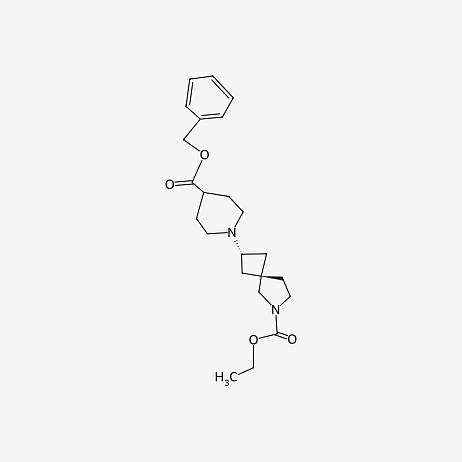 CCOC(=O)N1CC[C@]2(C1)C[C@@H](N1CCC(C(=O)OCc3ccccc3)CC1)C2